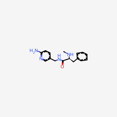 CN[C@@H](Cc1ccccc1)C(=O)NCc1ccc(N)nc1